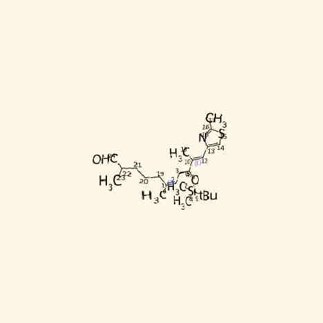 C/C(=C/C[C@H](O[Si](C)(C)C(C)(C)C)/C(C)=C/c1csc(C)n1)CCCC(C)C=O